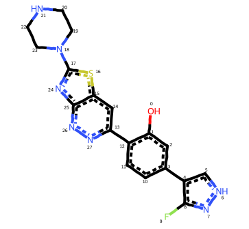 Oc1cc(-c2c[nH]nc2F)ccc1-c1cc2sc(N3CCNCC3)nc2nn1